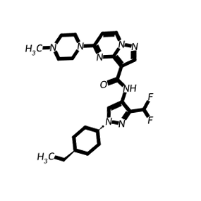 CC[C@H]1CC[C@H](n2cc(NC(=O)c3cnn4ccc(N5CCN(C)CC5)nc34)c(C(F)F)n2)CC1